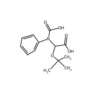 CC(C)(C)OC(C(=O)O)N(C(=O)O)c1ccccc1